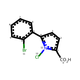 O=C(O)c1ccc(-c2ccccc2Br)n1Cl